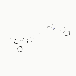 Cc1ccc(-c2cc(C(F)(F)F)nn2-c2ccc(S(=O)(=O)NC(=O)CCC(=O)OC[C@H](C)N(C)/[N+]([O-])=N\OC(C)N3C(=O)c4ccccc4C3=O)cc2)cc1